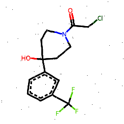 O=C(CCl)N1CCC(O)(c2cccc(C(F)(F)F)c2)CC1